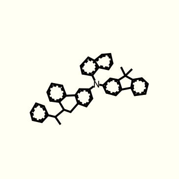 CC(c1ccccc1)C1Cc2ccc(N(c3ccc4c(c3)C(C)(C)c3ccccc3-4)c3cccc4ccccc34)cc2-c2ccccc21